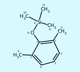 Cc1cccc(C)c1O[Si](C)(C)C